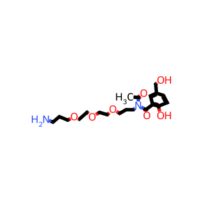 CC(=O)N(CCCOCCOCCOCCCN)C(=O)c1cc(CO)ccc1O